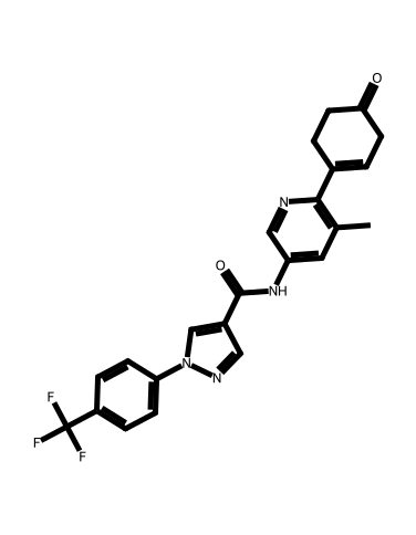 Cc1cc(NC(=O)c2cnn(-c3ccc(C(F)(F)F)cc3)c2)cnc1C1=CCC(=O)CC1